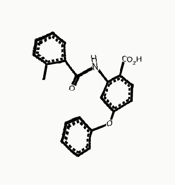 Cc1ccccc1C(=O)Nc1cc(Oc2ccccc2)ccc1C(=O)O